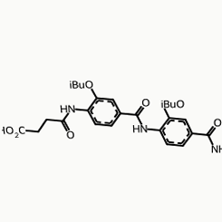 CC(C)COc1cc(C(=O)Nc2ccc(C(N)=O)cc2OCC(C)C)ccc1NC(=O)CCC(=O)O